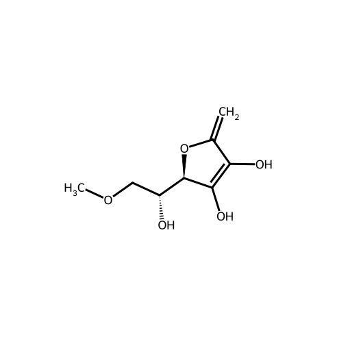 C=C1O[C@H]([C@H](O)COC)C(O)=C1O